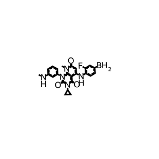 Bc1ccc(Nc2cc(=O)n(C)c3c2c(=O)n(C2CC2)c(=O)n3-c2cccc(NC)c2)c(F)c1